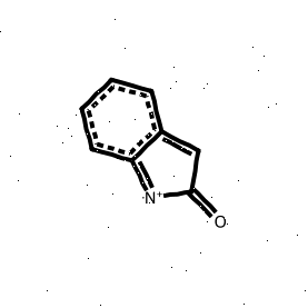 O=C1C=c2ccccc2=[N+]1